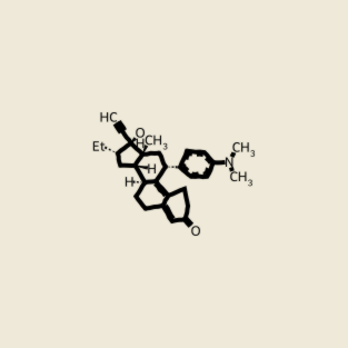 C#C[C@@]1(O)[C@@H](CC)C[C@H]2[C@@H]3CCC4=CC(=O)CCC4=C3[C@@H](c3ccc(N(C)C)cc3)C[C@]21C